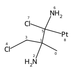 CC(N)(CCl)[C](N)(Cl)[Pt]